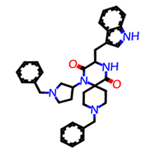 O=C1C(Cc2c[nH]c3ccccc23)NC(=O)C2(CCN(Cc3ccccc3)CC2)N1C1CCN(Cc2ccccc2)C1